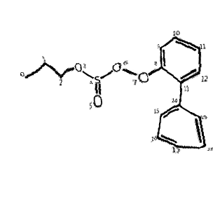 CCCOS(=O)OOc1ccccc1-c1ccccc1